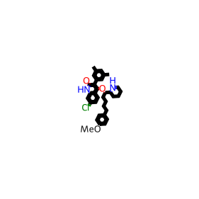 COc1ccc(CCCCC(Oc2c(-c3cc(C)cc(C)c3)c(=O)[nH]c3cc(Cl)ccc23)C2CCCCN2)cc1